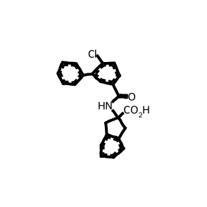 O=C(NC1(C(=O)O)Cc2ccccc2C1)c1ccc(Cl)c(-c2ccccc2)c1